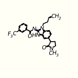 C=CCCn1/c(=N/C(=O)c2cccc(C(F)(F)F)c2)[nH]c2cc(C3CCN(C)C3=O)ccc21